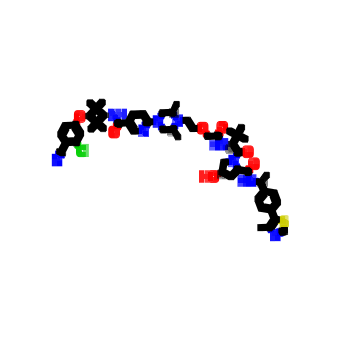 Cc1ncsc1-c1ccc([C@H](C)NC(=O)C2C[C@@H](O)CN2C(=O)[C@@H](NC(=O)COCCN2[C@H](C)CN(c3ccc(C(=O)N[C@H]4C(C)(C)[C@H](Oc5ccc(C#N)c(Cl)c5)C4(C)C)cn3)C[C@@H]2C)C(C)(C)C)cc1